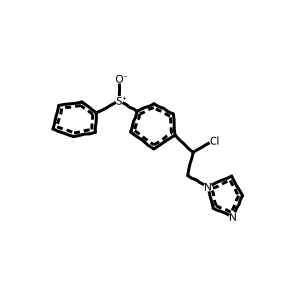 [O-][S+](c1ccccc1)c1ccc(C(Cl)Cn2ccnc2)cc1